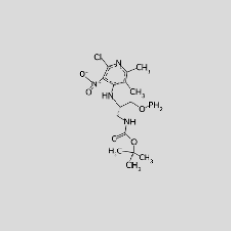 Cc1nc(Cl)c([N+](=O)[O-])c(N[C@@H](CNC(=O)OC(C)(C)C)COP)c1C